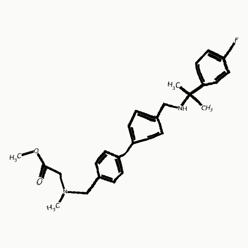 COC(=O)CN(C)Cc1ccc(-c2ccc(CNC(C)(C)c3ccc(F)cc3)cc2)cc1